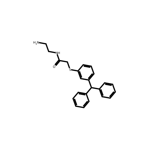 NCCNC(=O)CSc1cccc(C(c2ccccc2)c2ccccc2)c1